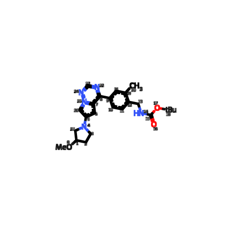 COC1CCN(c2cc3c(-c4ccc(CNC(=O)OC(C)(C)C)c(C)c4)ncnn3c2)C1